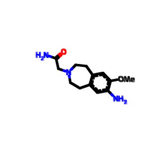 COc1cc2c(cc1N)CCN(CC(N)=O)CC2